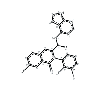 CC[C@H](Nc1ncnc2[nH]cnc12)c1cc2ccc(F)cc2c(=O)n1-c1cccc(F)c1F